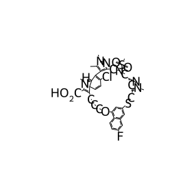 Cc1c2c(nn1C)CN(S(C)(=O)=O)Cc1cc(n(C)n1)CSc1cc(c3ccc(F)cc3c1)OCCCC1=C(C(=O)O)N(C)[C@@H]3C2=C(Cl)C=CC13